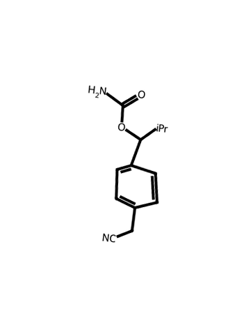 CC(C)C(OC(N)=O)c1ccc(CC#N)cc1